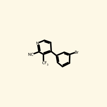 N#Cc1nccc(-c2cccc(Br)c2)c1C(F)(F)F